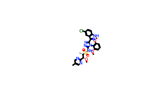 COc1cccc(OC)c1-n1c(NS(=O)(=O)[C@@H](C)[C@H](OC)c2ncc(C)cn2)nnc1-c1n[nH]c2ccc(Cl)cc12